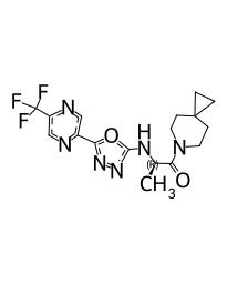 C[C@@H](Nc1nnc(-c2cnc(C(F)(F)F)cn2)o1)C(=O)N1CCC2(CC1)CC2